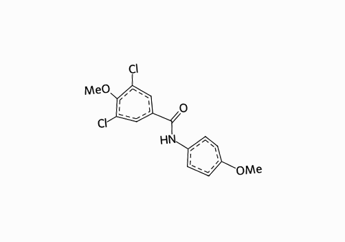 COc1ccc(NC(=O)c2cc(Cl)c(OC)c(Cl)c2)cc1